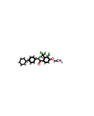 CCOc1ccc(C(=O)Cc2ccc(C3CCCCC3)cc2)c(C(F)(F)F)c1F